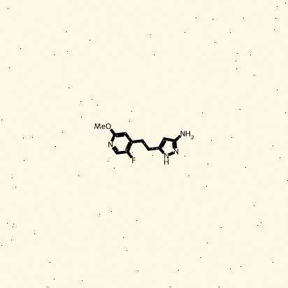 COc1cc(CCc2cc(N)n[nH]2)c(F)cn1